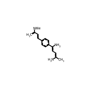 C=C(/C=C/c1ccc(/C(N)=C/C=C(/C)N)cc1)NC